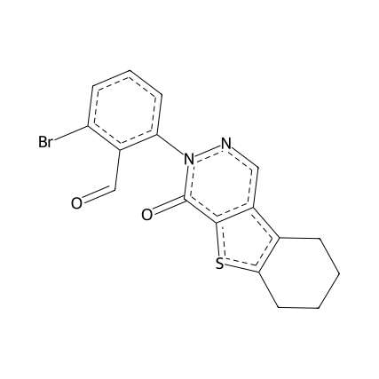 O=Cc1c(Br)cccc1-n1ncc2c3c(sc2c1=O)CCCC3